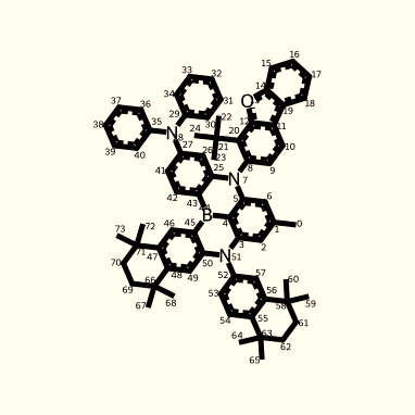 Cc1cc2c3c(c1)N(c1ccc4c(oc5ccccc54)c1C(C)(C)C)c1cc(N(c4ccccc4)c4ccccc4)ccc1B3c1cc3c(cc1N2c1ccc2c(c1)C(C)(C)CCC2(C)C)C(C)(C)CCC3(C)C